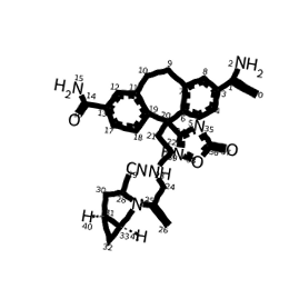 C=C(N)c1ccc2c(c1)CCc1cc(C(N)=O)ccc1C2(CCNCC(=C)N1C(C#N)C[C@@H]2C[C@@H]21)c1nc(=O)o[nH]1